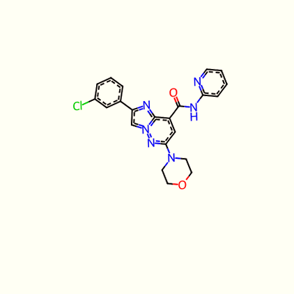 O=C(Nc1ccccn1)c1cc(N2CCOCC2)nn2cc(-c3cccc(Cl)c3)nc12